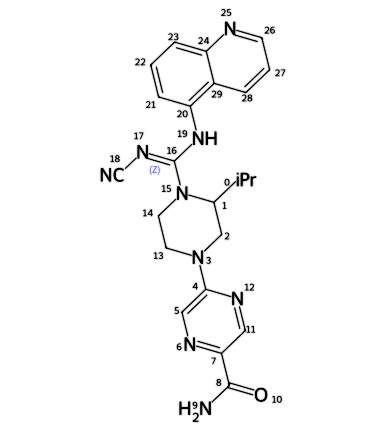 CC(C)C1CN(c2cnc(C(N)=O)cn2)CCN1/C(=N\C#N)Nc1cccc2ncccc12